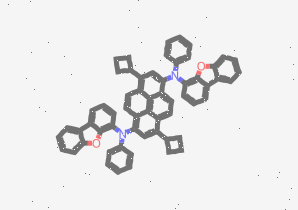 c1ccc(N(c2cc(C3CCC3)c3ccc4c(N(c5ccccc5)c5cccc6c5oc5ccccc56)cc(C5CCC5)c5ccc2c3c54)c2cccc3c2oc2ccccc23)cc1